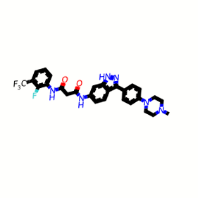 CN1CCN(c2ccc(-c3n[nH]c4cc(NC(=O)CC(=O)Nc5cccc(C(F)(F)F)c5F)ccc34)cc2)CC1